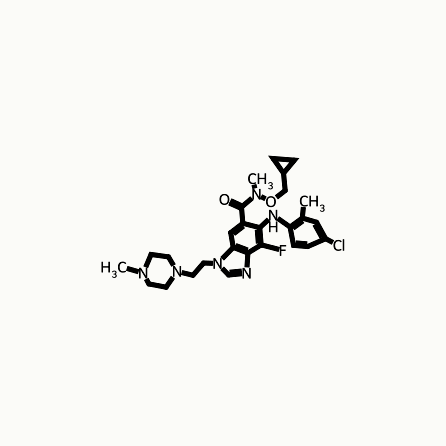 Cc1cc(Cl)ccc1Nc1c(C(=O)N(C)OCC2CC2)cc2c(ncn2CCN2CCN(C)CC2)c1F